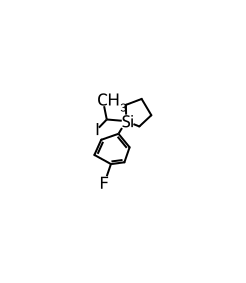 CC(I)[Si]1(c2ccc(F)cc2)CCCC1